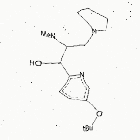 CNC(CN1CCCC1)C(O)c1ccc(OC(C)(C)C)cn1